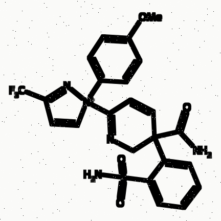 COc1ccc([N+]2(C3=NCC(C(N)=O)(c4ccccc4S(N)(=O)=O)C=C3)C=CC(C(F)(F)F)=N2)cc1